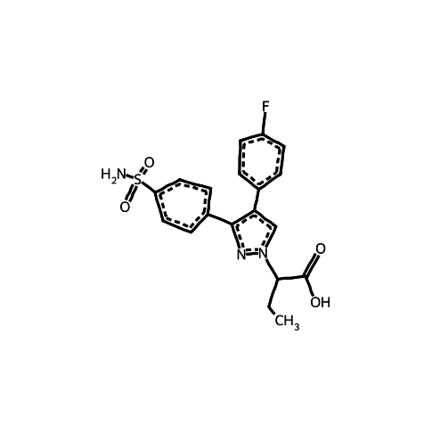 CCC(C(=O)O)n1cc(-c2ccc(F)cc2)c(-c2ccc(S(N)(=O)=O)cc2)n1